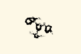 Cc1ccc(C)n1-c1cc(Nc2ccc(Cl)cc2)nc(-n2c(C)nc3ccccc32)c1